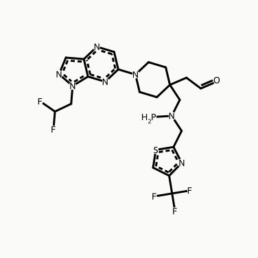 O=CCC1(CN(P)Cc2nc(C(F)(F)F)cs2)CCN(c2cnc3cnn(CC(F)F)c3n2)CC1